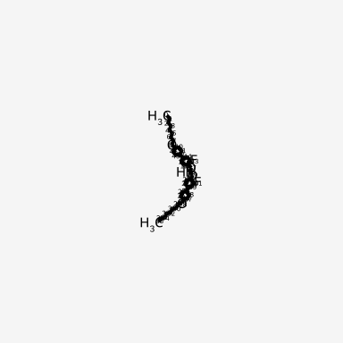 CCCCCCCCOc1ccc(-c2ccc(OBOc3ccc(-c4ccc(OCCCCCCCC)cc4)cc3F)c(F)c2)cc1